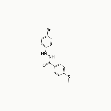 CSc1ccc(C(=O)NNc2ccc(Br)cc2)cc1